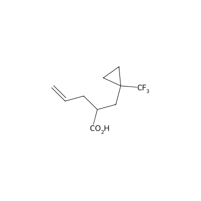 C=CCC(CC1(C(F)(F)F)CC1)C(=O)O